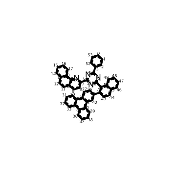 c1ccc(-c2nc(-c3ccc4ccc5ccccc5c4n3)nc(-c3c(-c4ccc5c6ccccc6c6ccccc6c5c4)ccc4ccccc34)n2)cc1